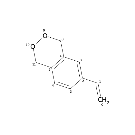 C=Cc1ccc2c(c1)COOC2